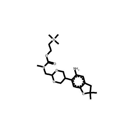 CN(CC1OCC(c2cc3c(cc2N)CC(C)(C)O3)CO1)C(=O)OCC[Si](C)(C)C